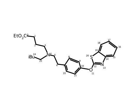 CCOC(=O)CCCN(CCc1ccc(Oc2nc3ccccc3s2)cc1)CC(C)CC